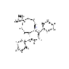 CC(=O)[C@@]1(O)CC/C=C2/C(c3ccccn3)=NN=C(c3ccccn3)C2CC1